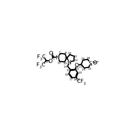 O=C(OC(C(F)(F)F)C(F)(F)F)N1CCC2(CCCN2Cc2ccc(C(F)(F)F)cc2OC2CC[S+]([O-])CC2)CC1